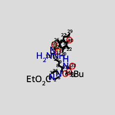 CCOC(=O)N1CCN(C(=O)C(CCCNC(N)=NS(=O)(=O)c2c(C)c(C)c3c(c2C)CC(C)O3)NC(=O)OC(C)(C)C)CC1